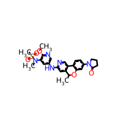 COc1ncc(Nc2cc3c(cn2)-c2ccc(N4CCCC4=O)cc2OC3C)cc1N(C)S(C)(=O)=O